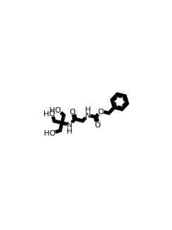 O=C(CNC(=O)OCc1ccccc1)NC(CO)(CO)CO